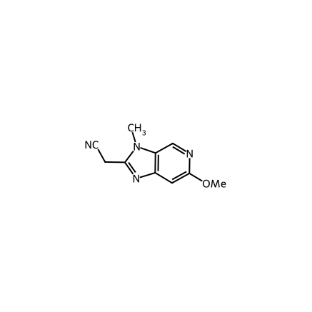 COc1cc2nc(CC#N)n(C)c2cn1